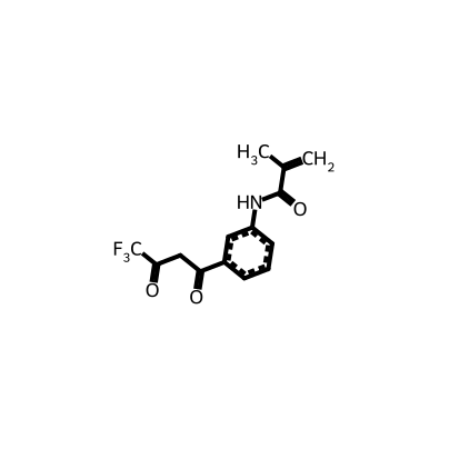 C=C(C)C(=O)Nc1cccc(C(=O)CC(=O)C(F)(F)F)c1